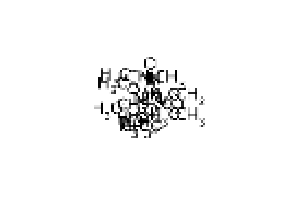 Cn1c(-c2ccccc2)nc2cc3c(cc21)-n1c2cc4c(cc2c2c5c(c6c(c21)B3N(c1ccc(C(C)(C)C)cc1)c1cc2c(cc1-6)C(C)(C)CCC2(C)C)C(C)(C)c1ccccc1-5)C(C)(C)CCC4(C)C